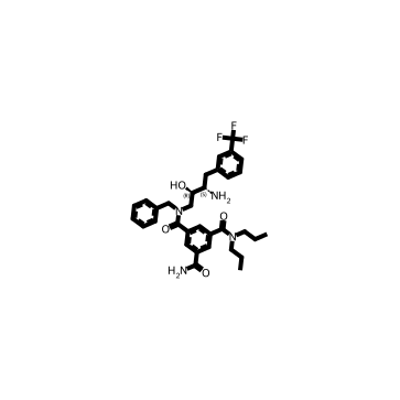 CCCN(CCC)C(=O)c1cc(C(N)=O)cc(C(=O)N(Cc2ccccc2)C[C@@H](O)[C@@H](N)Cc2cccc(C(F)(F)F)c2)c1